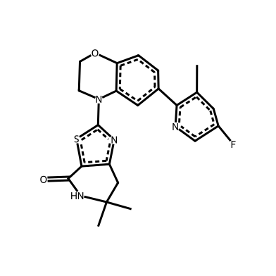 Cc1cc(F)cnc1-c1ccc2c(c1)N(c1nc3c(s1)C(=O)NC(C)(C)C3)CCO2